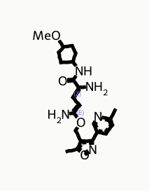 COC1CCC(NC(=O)/C(N)=C/C=C(\N)OCc2c(-c3ccc(C)nc3)noc2C)CC1